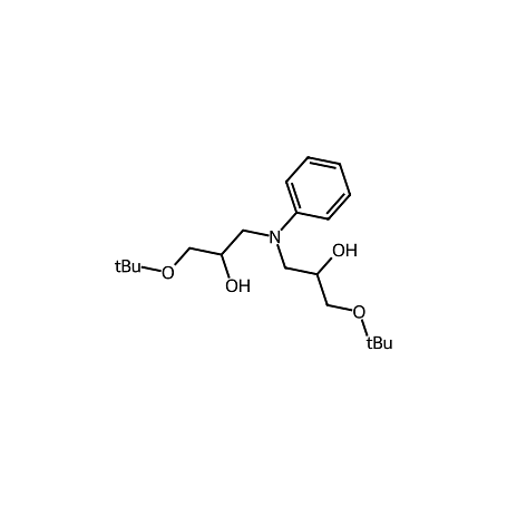 CC(C)(C)OCC(O)CN(CC(O)COC(C)(C)C)c1ccccc1